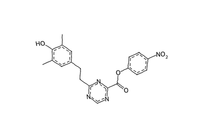 Cc1cc(CCc2ncnc(C(=O)Oc3ccc([N+](=O)[O-])cc3)n2)cc(C)c1O